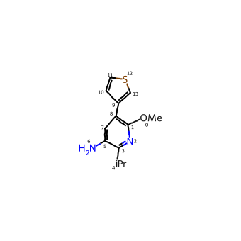 COc1nc(C(C)C)c(N)cc1-c1ccsc1